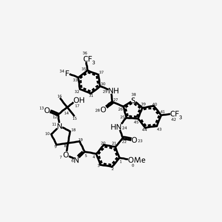 COc1ccc(C2=NOC3(CCN(C(=O)C(C)(C)O)C3)C2)cc1C(=O)Nc1c(C(=O)Nc2ccc(F)c(C(F)(F)F)c2)sc2cc(C(F)(F)F)ccc12